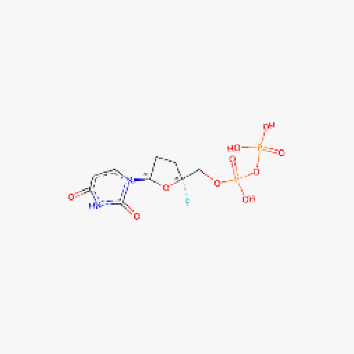 O=c1ccn([C@H]2CC[C@@](F)(COP(=O)(O)OP(=O)(O)O)O2)c(=O)[nH]1